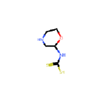 S=C(S)NC1CNCCO1